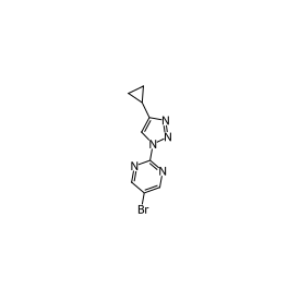 Brc1cnc(-n2cc(C3CC3)nn2)nc1